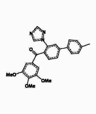 COc1cc(C(=O)c2ccc(-c3ccc(C)cc3)cc2-n2cncn2)cc(OC)c1OC